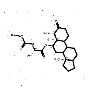 CC[C@@]12C(CCC(=O)[C@H]1C)C1CCC3CCC[C@@]3(C)C1C[C@@H]2OC(=O)[C@@H](NC(=O)OC(C)(C)C)C(C)C